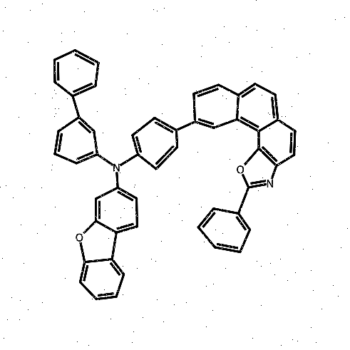 c1ccc(-c2cccc(N(c3ccc(-c4ccc5ccc6ccc7nc(-c8ccccc8)oc7c6c5c4)cc3)c3ccc4c(c3)oc3ccccc34)c2)cc1